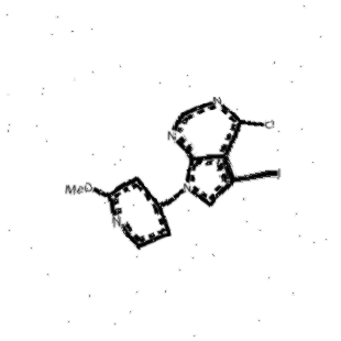 COc1cc(-n2cc(I)c3c(Cl)ncnc32)ccn1